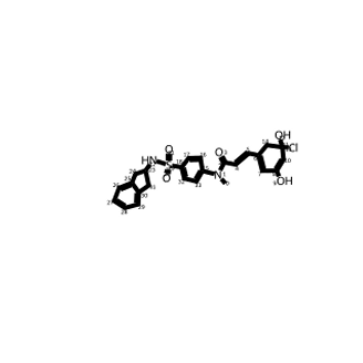 CN(C(=O)C=CC1=CC(O)=CC(O)(Cl)C1)c1ccc(S(=O)(=O)NC2Cc3ccccc3C2)cc1